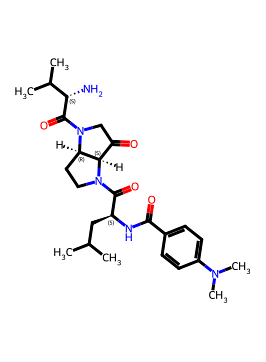 CC(C)C[C@H](NC(=O)c1ccc(N(C)C)cc1)C(=O)N1CC[C@@H]2[C@H]1C(=O)CN2C(=O)[C@@H](N)C(C)C